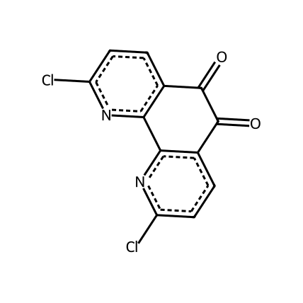 O=C1C(=O)c2ccc(Cl)nc2-c2nc(Cl)ccc21